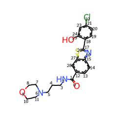 O=C(NCCCN1CCOCC1)c1ccc2nc(-c3ccc(Cl)cc3O)sc2c1